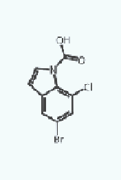 O=C(O)n1ccc2cc(Br)cc(Cl)c21